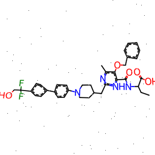 CCC(NC(=O)c1nc(CC2CCN(c3ccc(-c4ccc(C(F)(F)CO)cc4)cc3)CC2)nc(C)c1OCc1ccccc1)C(=O)O